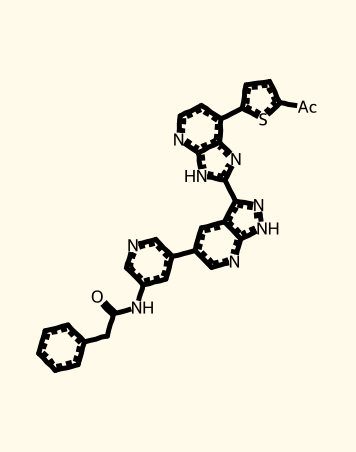 CC(=O)c1ccc(-c2ccnc3[nH]c(-c4n[nH]c5ncc(-c6cncc(NC(=O)Cc7ccccc7)c6)cc45)nc23)s1